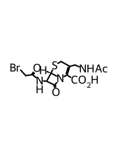 CC(=O)NCC1=C(C(=O)O)N2C(=O)C(NC(=O)CBr)[C@@H]2SC1